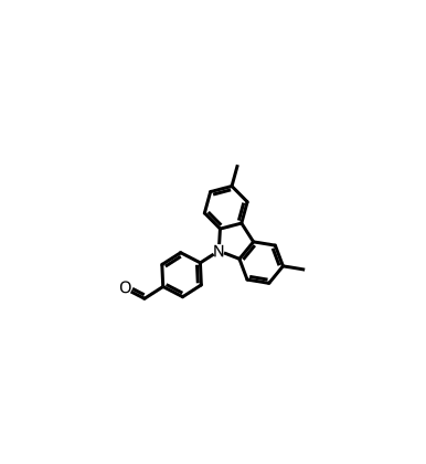 Cc1ccc2c(c1)c1cc(C)ccc1n2-c1ccc(C=O)cc1